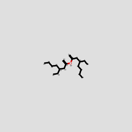 C=C(CC(CC)CCCC)OC(=C)CC(CC)CCCC